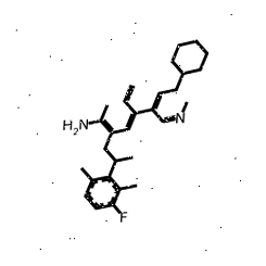 C=CC(=C\C(CC(C)c1c(C)ccc(F)c1C)=C(/C)N)/C(/C=N\C)=C/CC1CCCCC1